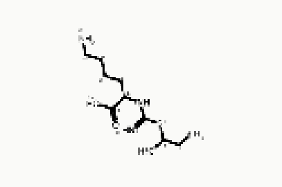 CCC(C)SC(=N)N[C@H](CCCCN)C(=O)O